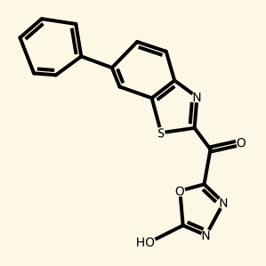 O=C(c1nnc(O)o1)c1nc2ccc(-c3ccccc3)cc2s1